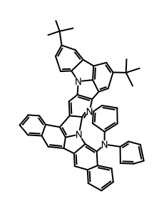 CC(C)(C)c1ccc2c(c1)c1cc(C(C)(C)C)cc3c4nc5c(cc4n2c13)c1c2ccccc2cc2c3cc4ccccc4c(N(c4ccccc4)c4ccccc4)c3n5c21